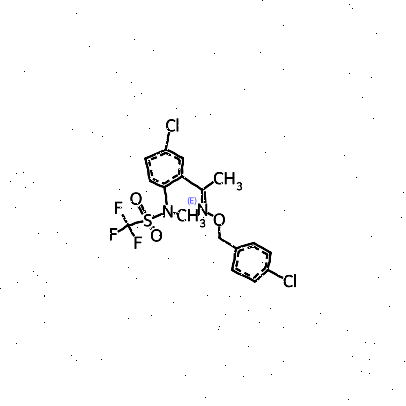 C/C(=N\OCc1ccc(Cl)cc1)c1cc(Cl)ccc1N(C)S(=O)(=O)C(F)(F)F